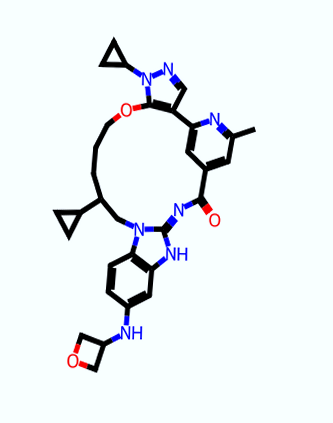 Cc1cc2cc(n1)-c1cnn(C3CC3)c1OCCCC(C1CC1)CN1/C(=N/C2=O)Nc2cc(NC3COC3)ccc21